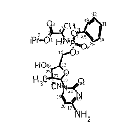 CC(C)OC(=O)C(C)N[P@@](=O)(OCC1OC(n2ccc(N)nc2=O)[C@](C)(C#N)[C@@H]1O)Oc1ccccc1